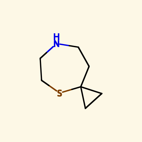 C1CSC2(CCN1)CC2